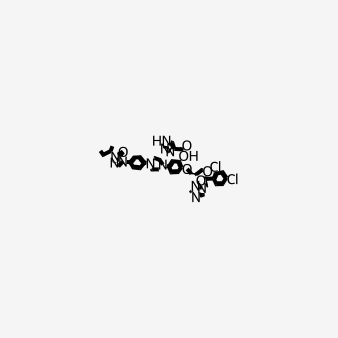 CCC(C)n1ncn(-c2ccc(N3CCN(c4ccc(OC[C@H]5CO[C@](Cn6cncn6)(c6ccc(Cl)cc6Cl)O5)cc4)CC3)cc2)c1=O.O=C(O)c1c[nH]nn1